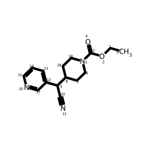 CCOC(=O)N1CCC(C(C#N)c2cccnc2)CC1